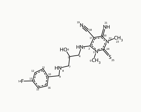 Cn1c(NCC(O)CNCc2ccc(F)cc2)c(C#N)c(=N)n(C)c1=S